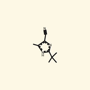 Cc1[nH]c(C(C)(C)C)nc1C#N